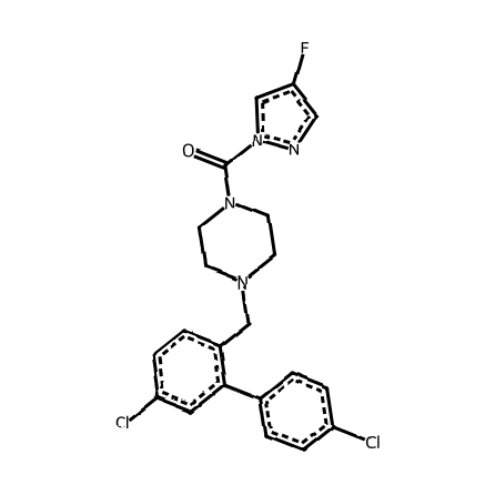 O=C(N1CCN(Cc2ccc(Cl)cc2-c2ccc(Cl)cc2)CC1)n1cc(F)cn1